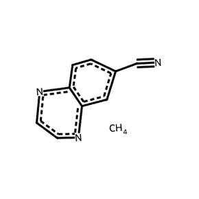 C.N#Cc1ccc2nccnc2c1